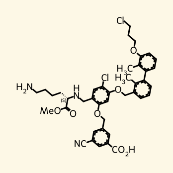 COC(=O)[C@H](CCCCN)NCc1cc(Cl)c(OCc2cccc(-c3cccc(OCCCCl)c3C)c2C)cc1OCc1cc(C#N)cc(C(=O)O)c1